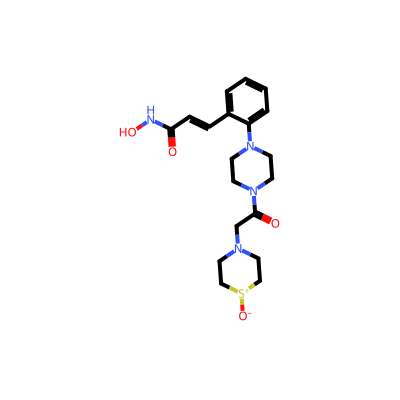 O=C(/C=C/c1ccccc1N1CCN(C(=O)CN2CC[S+]([O-])CC2)CC1)NO